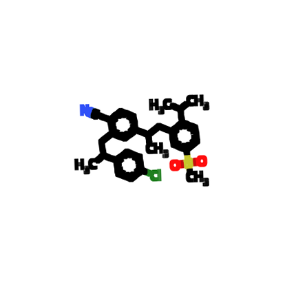 CC(C)c1ccc(S(C)(=O)=O)cc1CC(C)c1ccc(C#N)c(CC(C)c2ccc(Cl)cc2)c1